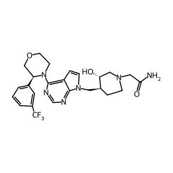 NC(=O)CN1CC[C@@H](Cn2ccc3c(N4CCOC[C@@H]4c4cccc(C(F)(F)F)c4)ncnc32)[C@H](O)C1